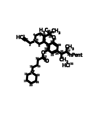 C#CCN1CCC2=C(C1)c1c(OC(=O)CCCN3CCCCC3)cc(C(C)C(C)CCCCC)cc1OC2(C)C.Cl